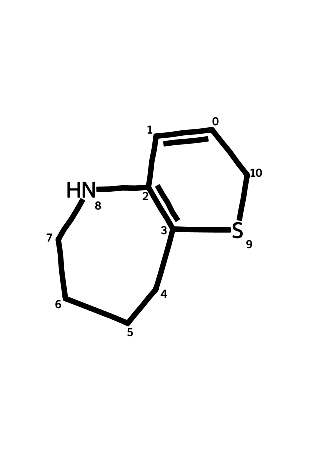 C1=CC2=C(CCCCN2)SC1